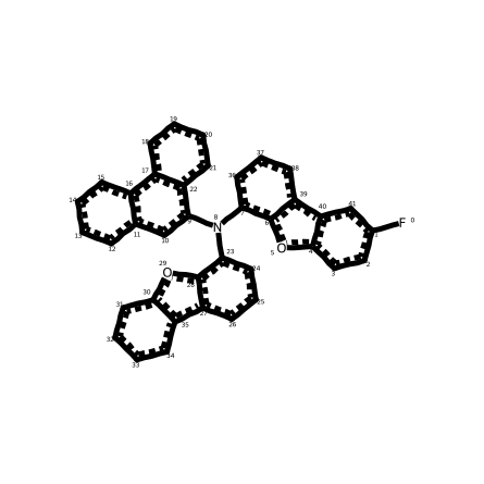 Fc1ccc2oc3c(N(c4cc5ccccc5c5ccccc45)c4cccc5c4oc4ccccc45)cccc3c2c1